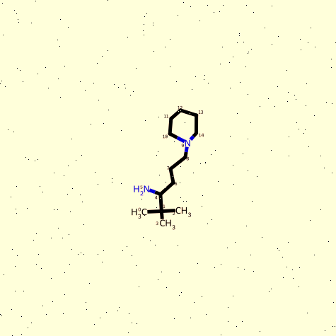 CC(C)(C)C(N)CCCN1CCCCC1